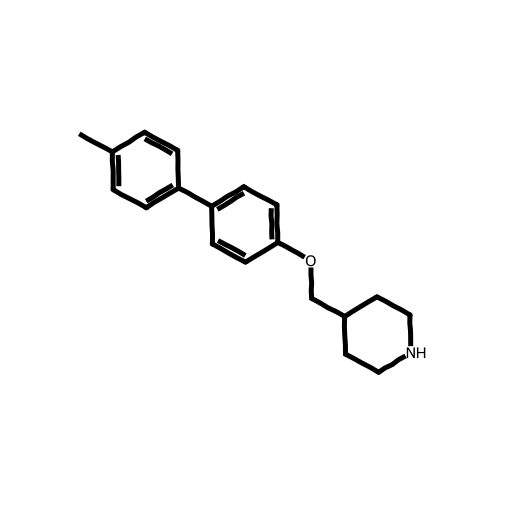 Cc1ccc(-c2ccc(OCC3CCNCC3)cc2)cc1